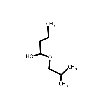 CCCC(O)OCC(C)C